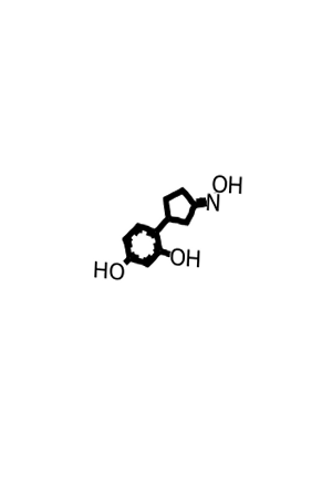 O/N=C1\CCC(c2ccc(O)cc2O)C1